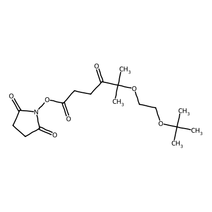 CC(C)(C)OCCOC(C)(C)C(=O)CCC(=O)ON1C(=O)CCC1=O